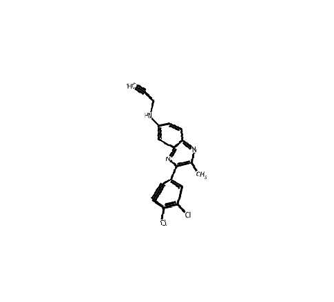 C#CCNc1ccc2nc(C)c(-c3c#cc(Cl)c(Cl)c3)nc2c1